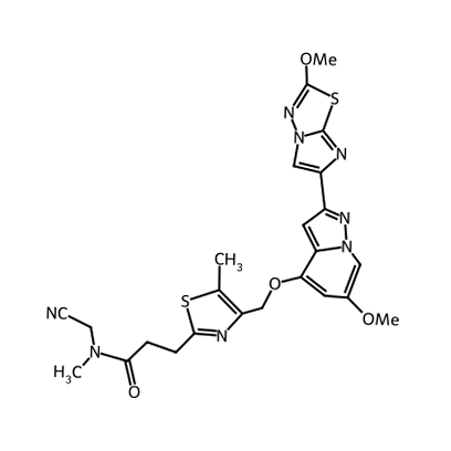 COc1cc(OCc2nc(CCC(=O)N(C)CC#N)sc2C)c2cc(-c3cn4nc(OC)sc4n3)nn2c1